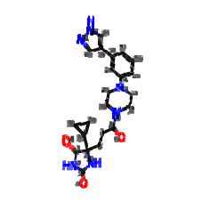 O=C1NC(=O)C(CCC(=O)N2CCN(c3cccc(-c4cn[nH]c4)c3)CC2)(C2CC2)N1